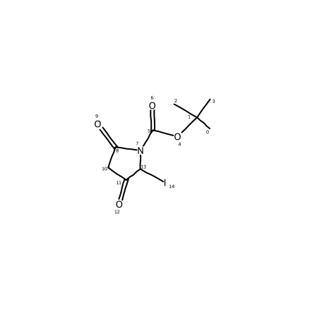 CC(C)(C)OC(=O)N1C(=O)CC(=O)C1I